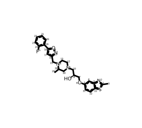 Cc1nc2cc(OC[C@@H](O)CN3CCN(Cc4cc(-c5ccccc5F)on4)C(C)C3)ccc2s1